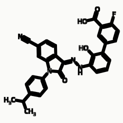 CC(C)c1ccc(N2C(=O)/C(=N\Nc3cccc(-c4ccc(F)c(C(=O)O)c4)c3O)c3ccc(C#N)cc32)cc1